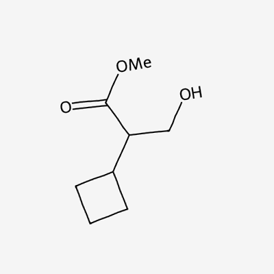 COC(=O)C(CO)C1CCC1